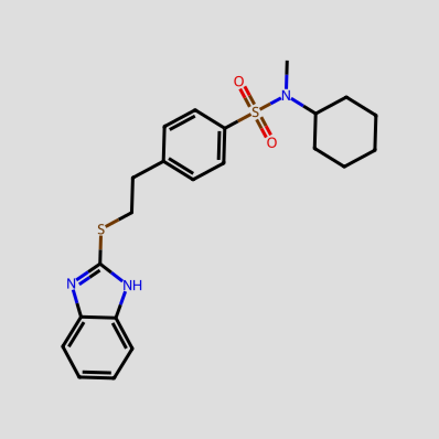 CN(C1CCCCC1)S(=O)(=O)c1ccc(CCSc2nc3ccccc3[nH]2)cc1